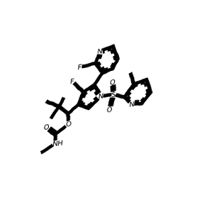 CNC(=O)OC(c1cn(S(=O)(=O)c2ncccc2C)c(-c2cccnc2F)c1F)C(C)(C)C